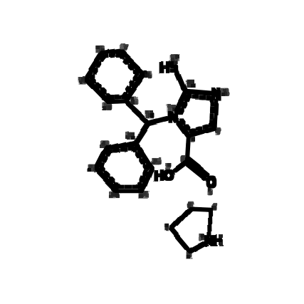 C1CCNC1.O=C(O)c1cnc(S)n1C(c1ccccc1)c1ccccc1